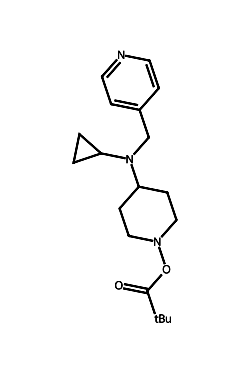 CC(C)(C)C(=O)ON1CCC(N(Cc2ccncc2)C2CC2)CC1